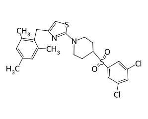 Cc1cc(C)c(Cc2csc(N3CCC(S(=O)(=O)c4cc(Cl)cc(Cl)c4)CC3)n2)c(C)c1